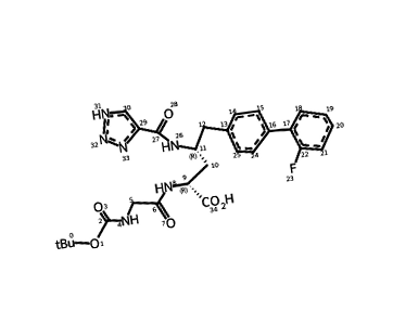 CC(C)(C)OC(=O)NCC(=O)N[C@H](C[C@@H](Cc1ccc(-c2ccccc2F)cc1)NC(=O)c1c[nH]nn1)C(=O)O